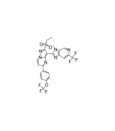 CCS(=O)(=O)c1nn2ccc(-c3ccc(OC(F)(F)F)cc3)nc2c1-c1nc2cc(C(F)(F)F)ncc2n1C